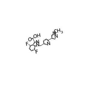 Cn1cc(-c2ccc(Cn3nc(C(=O)O)c4c(F)ccc(F)c43)cn2)cn1